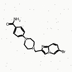 NC(=O)c1ccc(N2CCN(Cc3cn4cc(Br)ccc4n3)CC2)cc1